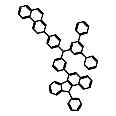 C1=CC[C@@H](c2cc(-c3ccccc3)cc(N(c3ccc(C4C=c5ccc6ccccc6c5=CC4)cc3)c3cccc(-c4cc5ccccc5c5c4c4ccccc4n5-c4ccccc4)c3)c2)C=C1